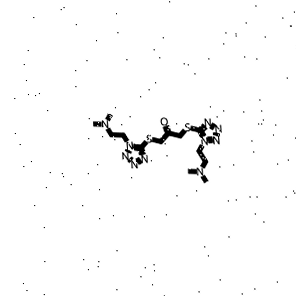 CN(C)CCn1nnnc1SCC(=O)CSc1nnnn1CCN(C)C